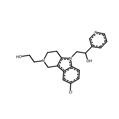 OCCN1CCc2c(c3cc(Cl)ccc3n2CC(O)c2cccnc2)C1